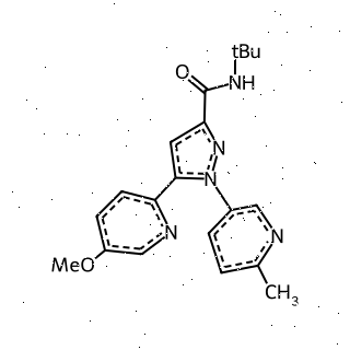 COc1ccc(-c2cc(C(=O)NC(C)(C)C)nn2-c2ccc(C)nc2)nc1